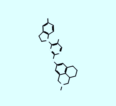 CN1Cc2cc(Nc3ncc(Cl)c(N4CCc5cc(Cl)ccc54)n3)cc3c2C(CCC3)C1